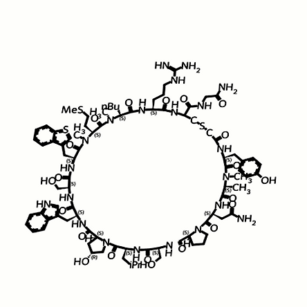 CCCC[C@H]1C(=O)N[C@@H](CCCNC(=N)N)C(=O)NC(C(=O)NCC(N)=O)CSCC(=O)N[C@@H](Cc2ccc(O)cc2)C(=O)N(C)[C@@H](C)C(=O)N[C@@H](CC(N)=O)C(=O)N2CCC[C@H]2C(=O)N[C@@H](CO)C(=O)N[C@@H](CC(C)C)C(=O)N2C[C@H](O)C[C@H]2C(=O)N[C@@H](Cc2c[nH]c3ccccc23)C(=O)N[C@@H](CO)C(=O)N[C@@H](Cc2csc3ccccc23)C(=O)N(C)[C@@H](CCSC)C(=O)N1C